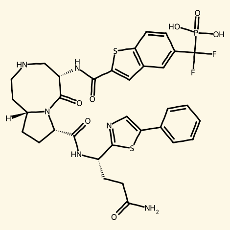 NC(=O)CC[C@H](NC(=O)[C@@H]1CC[C@@H]2CCNC[C@H](NC(=O)c3cc4cc(C(F)(F)P(=O)(O)O)ccc4s3)C(=O)N21)c1ncc(-c2ccccc2)s1